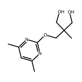 Cc1[c]c(C)nc(OCC(C)(CO)CO)n1